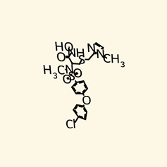 CN(C(CSCc1nccn1C)C(=O)NO)S(=O)(=O)c1ccc(Oc2ccc(Cl)cc2)cc1